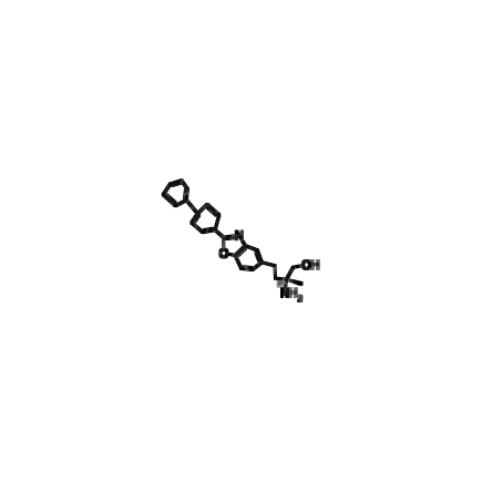 C[C@](N)(CO)CCc1ccc2oc(-c3ccc(-c4ccccc4)cc3)nc2c1